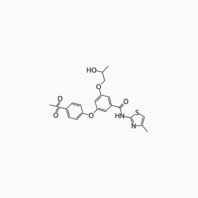 Cc1csc(NC(=O)c2cc(OCC(C)O)cc(Oc3ccc(S(C)(=O)=O)cc3)c2)n1